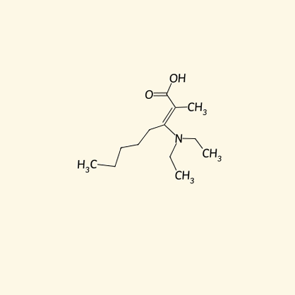 CCCCC/C(=C(/C)C(=O)O)N(CC)CC